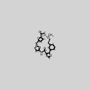 COCCc1cccc(-c2ocnc2C(=O)Nc2cnn(Cc3ccc(C(C)=O)o3)n2)c1